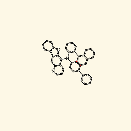 c1ccc(-c2ccc(N(c3ccccc3-c3cccc4ccccc34)c3c4cccnc4cc4c3oc3ccccc34)cc2)cc1